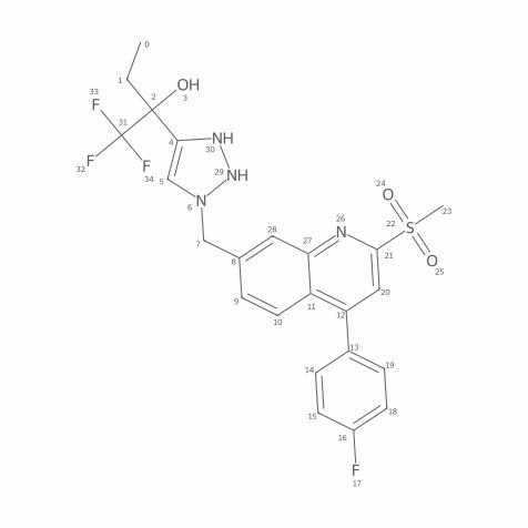 CCC(O)(C1=CN(Cc2ccc3c(-c4ccc(F)cc4)cc(S(C)(=O)=O)nc3c2)NN1)C(F)(F)F